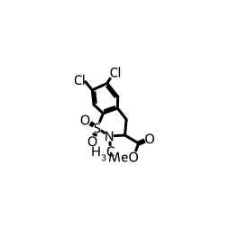 COC(=O)C1Cc2cc(Cl)c(Cl)cc2S(=O)(=O)N1C